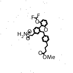 COC(=O)CCCc1ccc(C2Oc3cccc(OC(F)F)c3-c3ccc(CS(N)(=O)=O)cc32)cc1